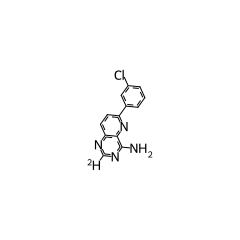 [2H]c1nc(N)c2nc(-c3cccc(Cl)c3)ccc2n1